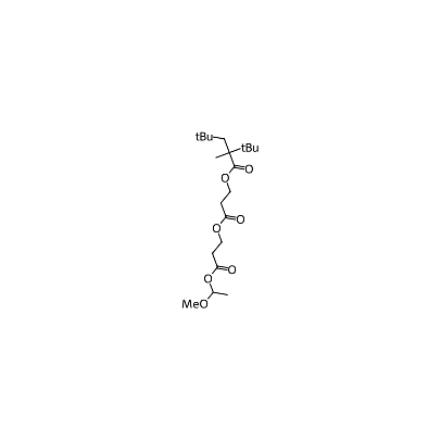 COC(C)OC(=O)CCOC(=O)CCOC(=O)C(C)(CC(C)(C)C)C(C)(C)C